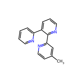 Cc1ccnc(-c2ncccc2-c2ccccn2)c1